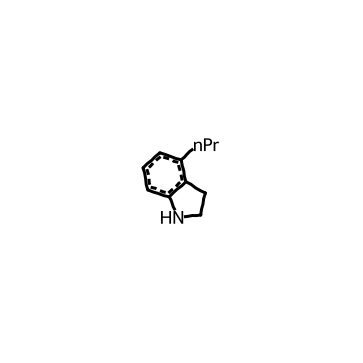 [CH2]CCc1cccc2c1CCN2